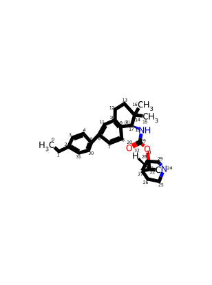 CCc1ccc(-c2ccc3c(c2)CCC(C)(C)[C@H]3NC(=O)O[C@@H]2CN3CCC2CC3)cc1